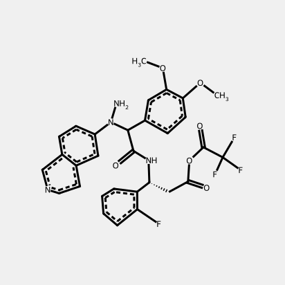 COc1ccc(C(C(=O)N[C@H](CC(=O)OC(=O)C(F)(F)F)c2ccccc2F)N(N)c2ccc3cnccc3c2)cc1OC